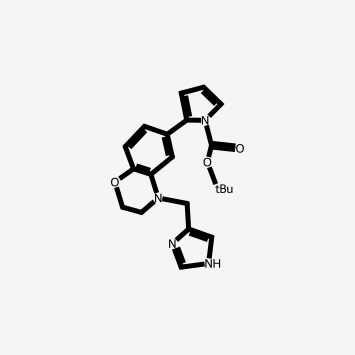 CC(C)(C)OC(=O)n1cccc1-c1ccc2c(c1)N(Cc1c[nH]cn1)CCO2